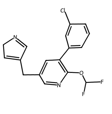 FC(F)Oc1ncc(CC2=CCN=C2)cc1-c1cccc(Cl)c1